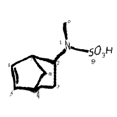 CN(C1CC2C=CC1C2)S(=O)(=O)O